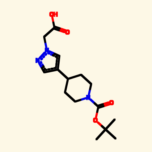 CC(C)(C)OC(=O)N1CCC(c2cnn(CC(=O)O)c2)CC1